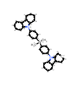 C[Si](C)(c1ccc(-n2c3ccccc3c3ccccc32)cc1)c1ccc(-n2c3ccccc3c3ccccc32)cc1